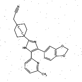 Cc1cccc(-c2[nH]c(C34CCC(CC#N)(CC3)CC4)nc2-c2ccc3c(c2)OCO3)n1